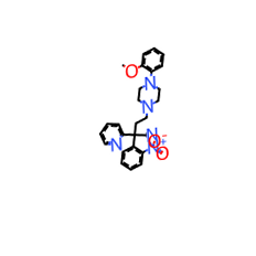 COc1ccccc1N1CCN(CCC(C#N)(c2ccccn2)c2ccccc2[N+](=O)[O-])CC1